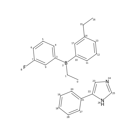 CCB(c1cccc(F)c1)c1cccc(CC)c1.c1ccc(-c2cnc[nH]2)cc1